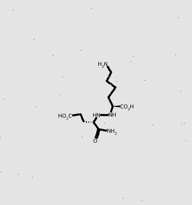 NCCCC[C@H](NN[C@@H](CCC(=O)O)C(N)=O)C(=O)O